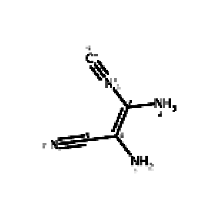 [C-]#[N+]/C(N)=C(/N)C#N